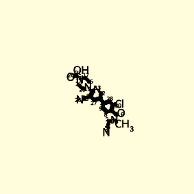 CN(CC#N)C(=O)c1ccc(-c2cnc(N3CCN(C(=O)O)CC3)c(C#N)c2)cc1Cl